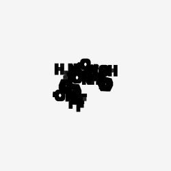 C=C(O/C(=C(\N)C(=O)N(C)C(C)C(O)c1ccccc1)C(C)N)c1ccc(OC)c2nc(C(F)(F)F)ccc12